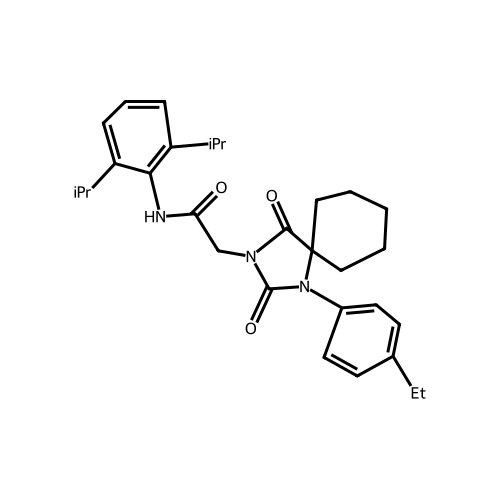 CCc1ccc(N2C(=O)N(CC(=O)Nc3c(C(C)C)cccc3C(C)C)C(=O)C23CCCCC3)cc1